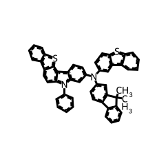 CC1(C)c2ccccc2-c2ccc(N(c3ccc4sc5ccccc5c4c3)c3ccc4c5c6sc7ccccc7c6ccc5n(-c5ccccc5)c4c3)cc21